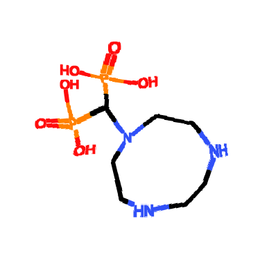 O=P(O)(O)C(N1CCNCCNCC1)P(=O)(O)O